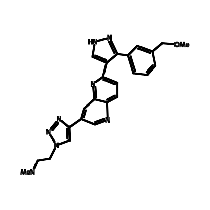 CNCCn1cc(-c2cnc3ccc(-c4c[nH]nc4-c4cccc(COC)c4)nc3c2)nn1